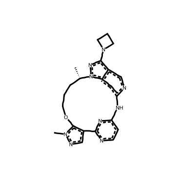 C[C@H]1CCCOc2c(cnn2C)-c2nccc(n2)Nc2cc3c(cn2)c(N2CCC2)nn31